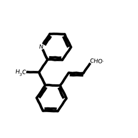 CC(c1ccccn1)c1ccccc1/C=C/[C]=O